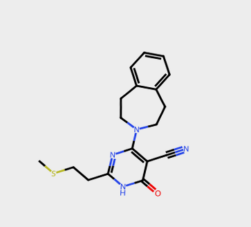 CSCCc1nc(N2CCc3ccccc3CC2)c(C#N)c(=O)[nH]1